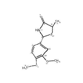 COc1ccc(C2NC(=O)C(C)S2)cc1OC